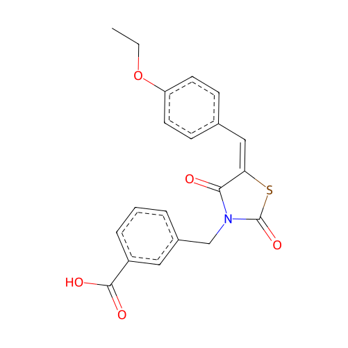 CCOc1ccc(C=C2SC(=O)N(Cc3cccc(C(=O)O)c3)C2=O)cc1